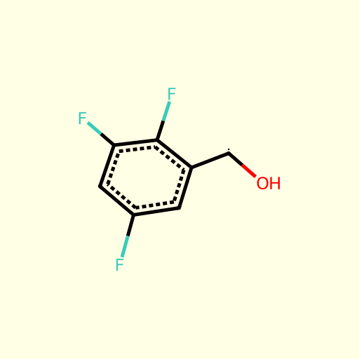 O[CH]c1cc(F)cc(F)c1F